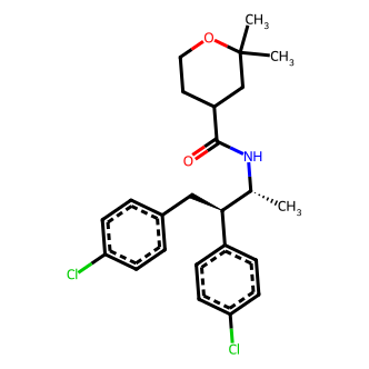 C[C@@H](NC(=O)C1CCOC(C)(C)C1)[C@H](Cc1ccc(Cl)cc1)c1ccc(Cl)cc1